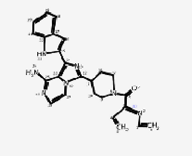 C=C/N=C(\C=C)C(=O)N1CCC(c2nc(-c3cc4ccccc4[nH]3)c3c(N)nccn23)CC1